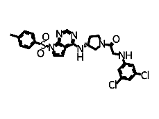 Cc1ccc(S(=O)(=O)n2ccc3c(N[C@@H]4CCN(C(=O)CNc5cc(Cl)cc(Cl)c5)C4)ncnc32)cc1